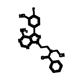 N#CCN(CCn1nc(-c2ccc(F)c(O)c2)c2c(N)ncnc21)C(=O)c1ccccc1